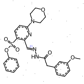 COc1cccc(CC(=O)N/N=C/c2nc(N3CCOCC3)ccc2S(=O)(=O)Oc2ccccc2)c1